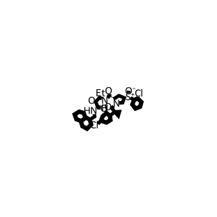 CC[C@H](NC(=O)[C@@H]1C[C@@H]([S+]([O-])c2ccccc2Cl)CN1C(=O)C1(c2ccc(Cl)cc2)CC1)C(=O)C(=O)NCc1cccc2ccccc12